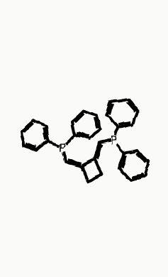 C(=C1CCC1=CP(c1ccccc1)c1ccccc1)P(c1ccccc1)c1ccccc1